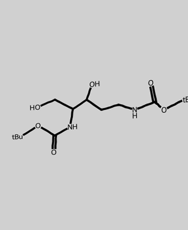 CC(C)(C)OC(=O)NCCC(O)C(CO)NC(=O)OC(C)(C)C